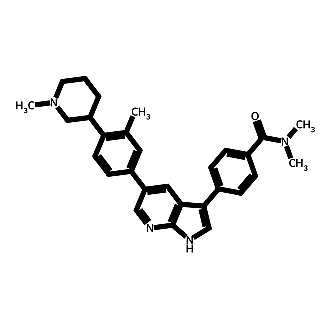 Cc1cc(-c2cnc3[nH]cc(-c4ccc(C(=O)N(C)C)cc4)c3c2)ccc1C1CCCN(C)C1